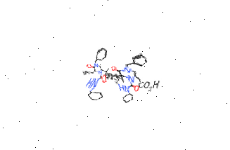 CC(C)CC1C(=O)N(Cc2ccccc2)CC(C(C)C(=O)O)N1C(=O)NC1CCCCC1.CC(C)CC1C(=O)N(Cc2ccccc2)CC(CC(=O)O)N1C(=O)NC1CCCCC1